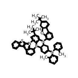 Cc1ccccc1N(C1=CC=C2B3c4c(cc(C(C)(C)C)cc4-n4c5sc6ccccc6c5c5cccc3c54)N(c3cccc4c3OC3CC(C(C)(C)C)=CC=C43)C2C1)c1ccccc1C